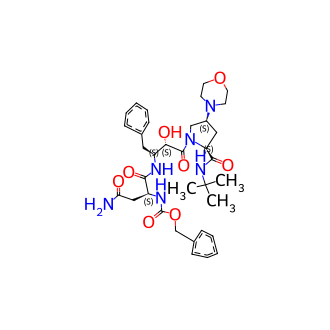 CC(C)(C)NC(=O)[C@@H]1C[C@H](N2CCOCC2)CN1C(=O)[C@@H](O)[C@H](Cc1ccccc1)NC(=O)[C@H](CC(N)=O)NC(=O)OCc1ccccc1